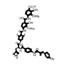 COc1c(NC(O)c2ccc(NC(=O)c3c(F)cc(NC(=O)[C@H](Cc4c[nH]nn4)NC(=O)c4ccc(NC(=O)/C(C)=C/c5ccc(O)cc5)cc4)cc3F)c(OC)c2O)ccc(C(=O)O)c1O